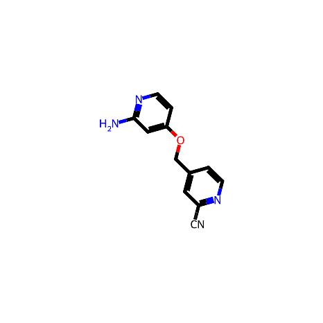 N#Cc1cc(COc2ccnc(N)c2)ccn1